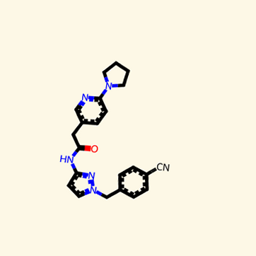 N#Cc1ccc(Cn2ccc(NC(=O)Cc3ccc(N4CCCC4)nc3)n2)cc1